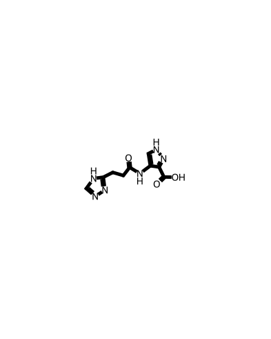 O=C(CCc1nnc[nH]1)Nc1c[nH]nc1C(=O)O